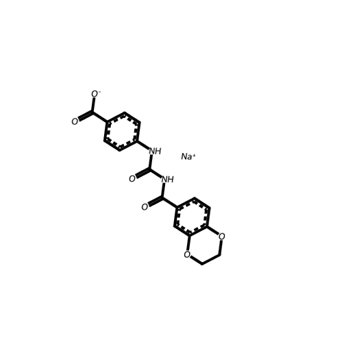 O=C(NC(=O)c1ccc2c(c1)OCCO2)Nc1ccc(C(=O)[O-])cc1.[Na+]